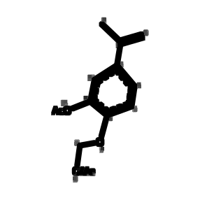 C=C(C)c1ccc(OCOC)c(OC(C)=O)c1